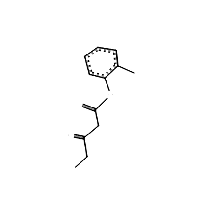 CCC(=O)CC(=O)Oc1ccccc1O